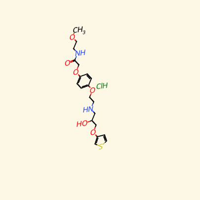 COCCNC(=O)COc1ccc(OCCNCC(O)COc2ccsc2)cc1.Cl